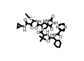 CCCC(NC(=O)C1CC2(CN1C(=O)C(NC(=O)[C@@H](NC(=O)c1cnccn1)C1CCCCC1)C(C)(C)C)NC(=O)NC2=O)C(=O)C(=O)NC1CC1